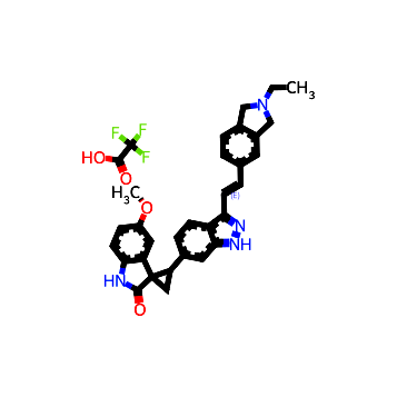 CCN1Cc2ccc(/C=C/c3n[nH]c4cc(C5CC56C(=O)Nc5ccc(OC)cc56)ccc34)cc2C1.O=C(O)C(F)(F)F